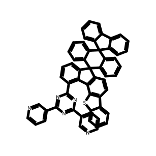 c1cncc(-c2nc(-c3cccnc3)nc(-c3cccc4c3-c3c(ccc5c3sc3ccccc35)C43c4ccccc4C4(c5ccccc5-c5ccccc54)c4ccccc43)n2)c1